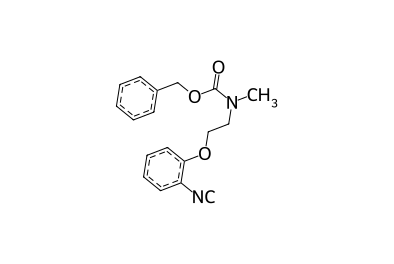 [C-]#[N+]c1ccccc1OCCN(C)C(=O)OCc1ccccc1